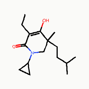 CCC1=C(O)C(C)(CCC(C)C)CN(C2CC2)C1=O